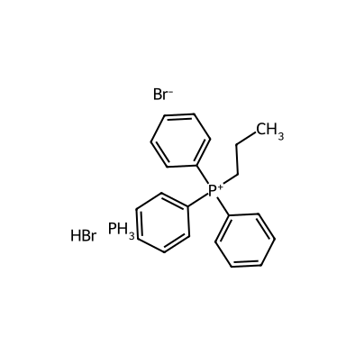 Br.CCC[P+](c1ccccc1)(c1ccccc1)c1ccccc1.P.[Br-]